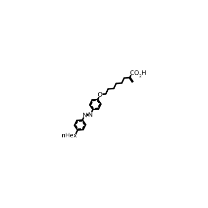 C=C(CCCCCCOc1ccc(/N=N/c2ccc(CCCCCC)cc2)cc1)C(=O)O